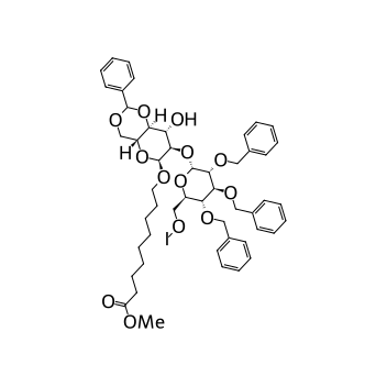 COC(=O)CCCCCCCCO[C@H]1O[C@@H]2COC(c3ccccc3)O[C@H]2[C@H](O)[C@H]1O[C@H]1O[C@H](COI)[C@@H](OCc2ccccc2)[C@H](OCc2ccccc2)[C@H]1OCc1ccccc1